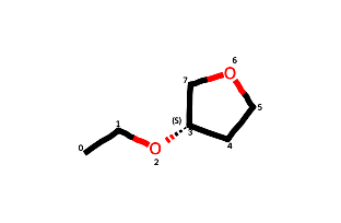 CCO[C@H]1CCOC1